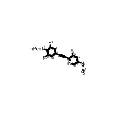 CCCCCc1c(F)cc(C#Cc2ncc(N=C=S)cc2F)cc1F